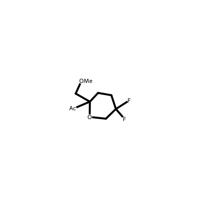 COCC1(C(C)=O)CCC(F)(F)CO1